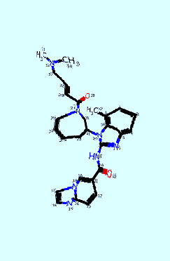 Cc1cccc2nc(NC(=O)c3ccc4nccn4c3)n(C3CCCCN(C(=O)C=CCN(C)C)C3)c12